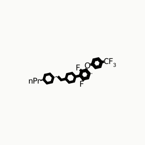 CCC[C@H]1CC[C@H](CCC2CCC(c3c(F)c[c]c(Oc4ccc(C(F)(F)F)cc4)c3F)CC2)CC1